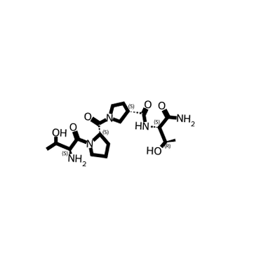 CC(O)[C@H](N)C(=O)N1CCC[C@H]1C(=O)N1CC[C@H](C(=O)N[C@H](C(N)=O)[C@@H](C)O)C1